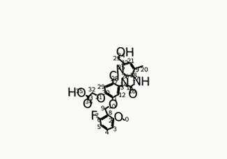 COc1cccc(F)c1COc1cc(N2C(=O)NC3C(C)=CC(CO)=NC32)c(Cl)cc1OCC(=O)O